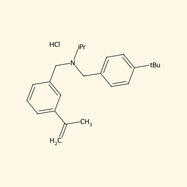 C=C(C)c1cccc(CN(Cc2ccc(C(C)(C)C)cc2)C(C)C)c1.Cl